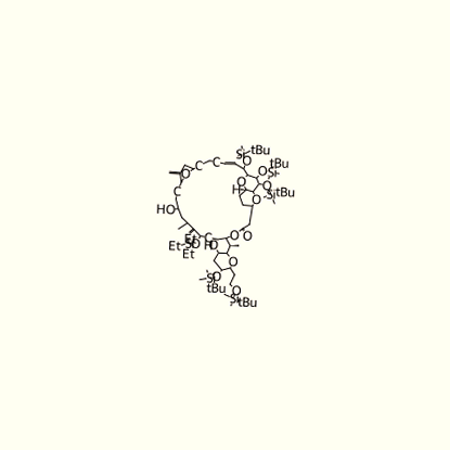 C=C1CC2CCC/C=C/C(O[Si](C)(C)C(C)(C)C)C3O[C@H]4CCC(CC(=O)OC5[C@@H](C)C6OC(CCO[Si](C)(C)C(C)(C)C)C(O[Si](C)(C)C(C)(C)C)CC6O[C@H]5CC(O[Si](CC)(CC)CC)C(=C)C(C)CC(O)CCC1O2)OC4C(O[Si](C)(C)C(C)(C)C)C3O[Si](C)(C)C(C)(C)C